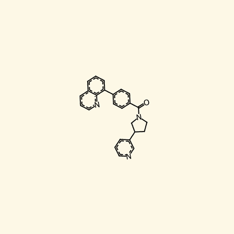 O=C(c1ccc(-c2cccc3cccnc23)cc1)N1CCC(c2cccnc2)C1